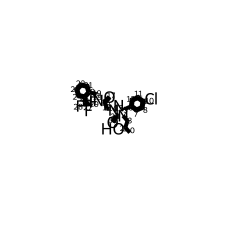 CC(O)Cn1c(-c2ccc(Cl)cc2)nn(CC(=O)NCc2ccccc2C(F)(F)F)c1=O